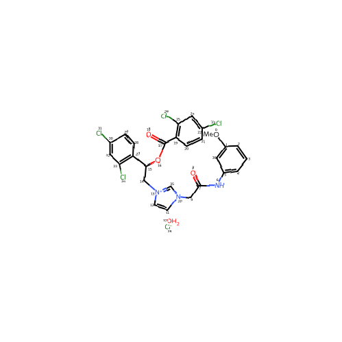 COc1cccc(NC(=O)Cn2cc[n+](CC(OC(=O)c3ccc(Cl)cc3Cl)c3ccc(Cl)cc3Cl)c2)c1.O.[Cl-]